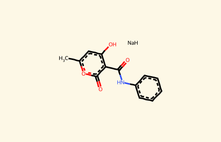 Cc1cc(O)c(C(=O)Nc2ccccc2)c(=O)o1.[NaH]